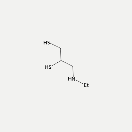 CCNCC(S)CS